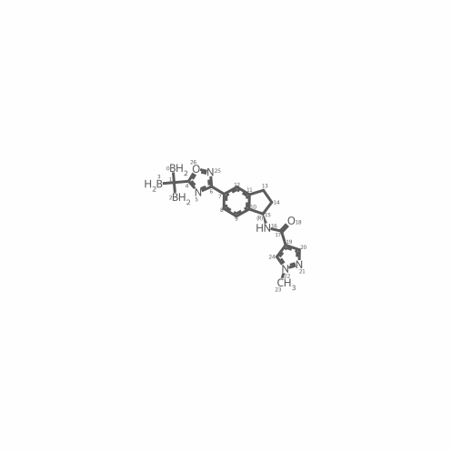 BC(B)(B)c1nc(-c2ccc3c(c2)CC[C@H]3NC(=O)c2cnn(C)c2)no1